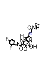 CC(C)NC(=O)/C=C/c1cnc2c(c1)c(N)c(C(=O)NCc1ccc(F)cc1F)c(=O)n2O